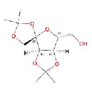 CC1(C)O[C@H]2[C@@H](O1)[C@@]1(COC(C)(C)O1)O[C@@H]2CO